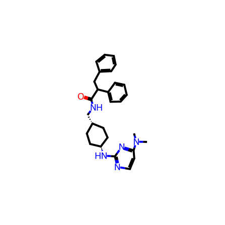 CN(C)c1ccnc(N[C@H]2CC[C@@H](CNC(=O)C(Cc3ccccc3)c3ccccc3)CC2)n1